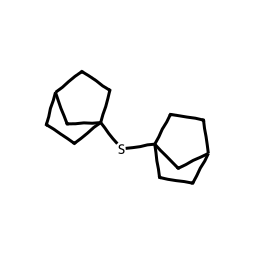 C1CC2(SC34CCC(CC3)C4)CCC1C2